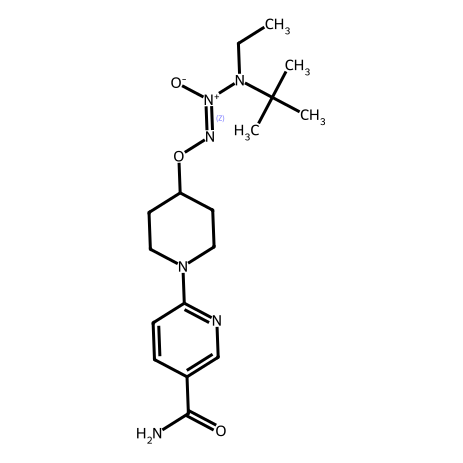 CCN(/[N+]([O-])=N/OC1CCN(c2ccc(C(N)=O)cn2)CC1)C(C)(C)C